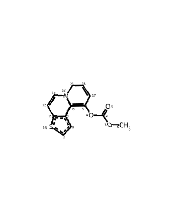 COC(=O)OC1=C2c3ccsc3C=CN2CC=C1